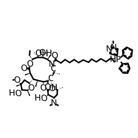 CC[C@H]1OC(=O)[C@H](C)[C@@H](C2C[C@@](C)(OC)[C@@H](O)[C@H](C)O2)[C@H](C)[C@@H](O[C@@H]2O[C@H](C)C[C@H](N(C)C)[C@H]2O)[C@](C)(O)C[C@@H](C)CN(C(=O)CCCCCCCCCCCCC[PH](c2ccccc2)(c2ccccc2)c2cnn(C)c2)[C@H](C)[C@@H](O)[C@]1(C)O